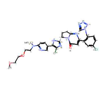 CCOCCOCCN(C(=O)O)c1ccc(-c2[nH]c([C@@H]3CCc4nc(-c5cc(Cl)ccc5-n5cnnn5)cc(=O)n43)nc2Cl)cn1